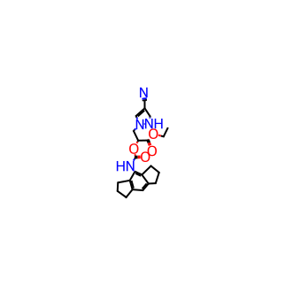 CCOC(=O)C(CN1C=C(C#N)CN1)OC(=O)Nc1c2c(cc3c1CCC3)CCC2